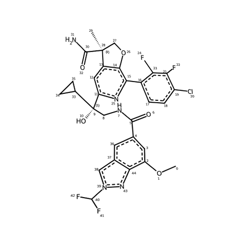 COc1cc(C(=O)NC[C@](O)(c2cc3c(c(-c4ccc(Cl)c(F)c4F)n2)OC[C@]3(C)C(N)=O)C2CC2)cc2cn(C(F)F)nc12